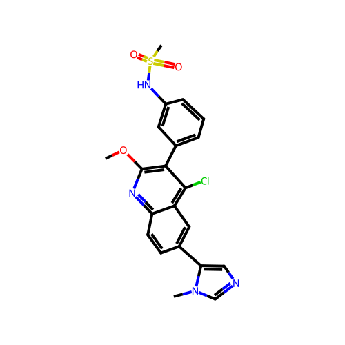 COc1nc2ccc(-c3cncn3C)cc2c(Cl)c1-c1cccc(NS(C)(=O)=O)c1